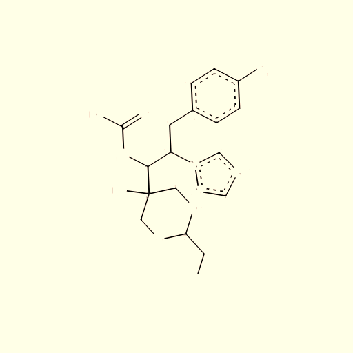 CCC1OCC(C)(C(OC(C)=O)C(Cc2ccc(Br)cc2)n2cncn2)CO1